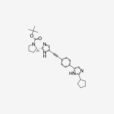 CC(C)(C)OC(=O)N1CCC[C@H]1c1ncc(C#Cc2ccc(-c3cnc(C4CCCC4)[nH]3)cc2)[nH]1